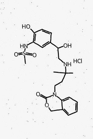 CC(C)(CCN1C(=O)OCc2ccccc21)NCC(O)c1ccc(O)c(NS(C)(=O)=O)c1.Cl